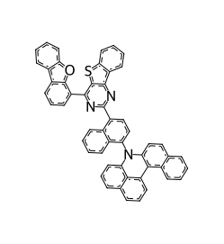 c1ccc2c3c(ccc2c1)N(c1ccc(-c2nc(-c4cccc5c4oc4ccccc45)c4sc5ccccc5c4n2)c2ccccc12)c1cccc2cccc-3c12